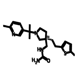 Cc1ccc(C(C)(C)N2CC[C@@](CCc3ccc(F)s3)(CNC(N)=O)C2)cn1